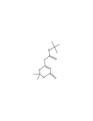 CC(C)(C)OC(=O)CC1=CC(=O)OC(C)(C)O1